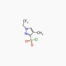 Cc1cn(CC(F)(F)F)nc1S(=O)(=O)Cl